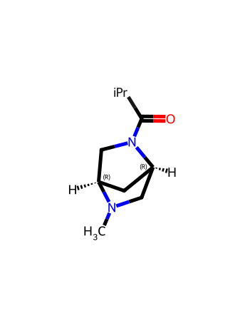 CC(C)C(=O)N1C[C@H]2C[C@@H]1CN2C